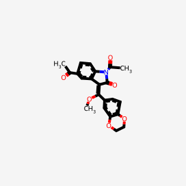 COC(=C1C(=O)N(C(C)=O)c2ccc(C(C)=O)cc21)c1ccc2c(c1)OCCO2